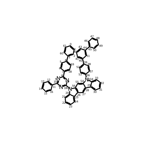 c1ccc(-c2ccc(-c3nc(-c4ccccc4)nc(-n4c5ccccc5c5cc6c7ccccc7n(-c7ccc(-c8cccc(-c9ccccc9)c8)cc7)c6cc54)n3)cc2)cc1